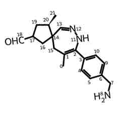 CC1=C(c2ccc(CN)cc2)NN=CC2(C1)CC(C=O)C[C@H]2C